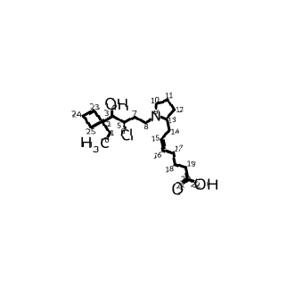 CCC1(C(O)[C@H](Cl)CCN2CCCC2C/C=C\CCCC(=O)O)CCC1